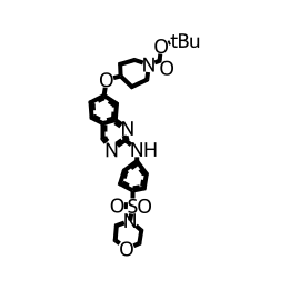 CC(C)(C)OC(=O)N1CCC(Oc2ccc3cnc(Nc4ccc(S(=O)(=O)N5CCOCC5)cc4)nc3c2)CC1